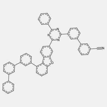 N#Cc1cccc(-c2cccc(-c3nc(-c4ccccc4)nc(-c4ccc5c(c4)oc4cccc(-c6cccc(-c7cccc(-c8ccccc8)c7)c6)c45)n3)c2)c1